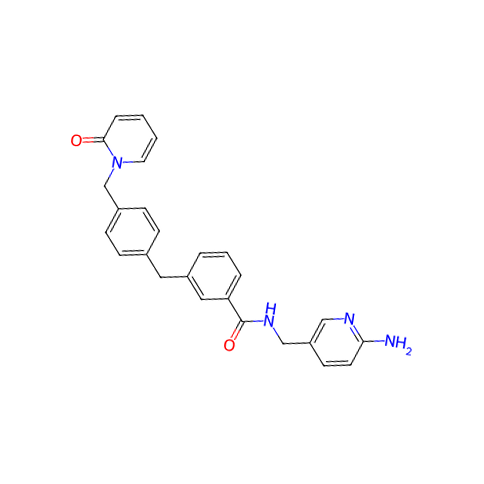 Nc1ccc(CNC(=O)c2cccc(Cc3ccc(Cn4ccccc4=O)cc3)c2)cn1